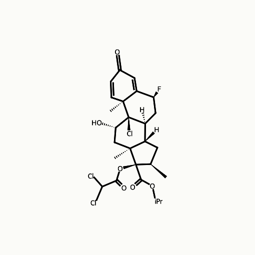 CC(C)OC(=O)[C@@]1(OC(=O)C(Cl)Cl)[C@H](C)C[C@H]2[C@@H]3C[C@H](F)C4=CC(=O)C=C[C@]4(C)[C@@]3(Cl)[C@@H](O)C[C@@]21C